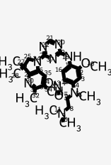 COc1cc(N(C)CCN(C)C)c([N+](=O)[O-])cc1Nc1ncnc(N2CC(C)(C)c3nc(C)c(C)cc32)n1